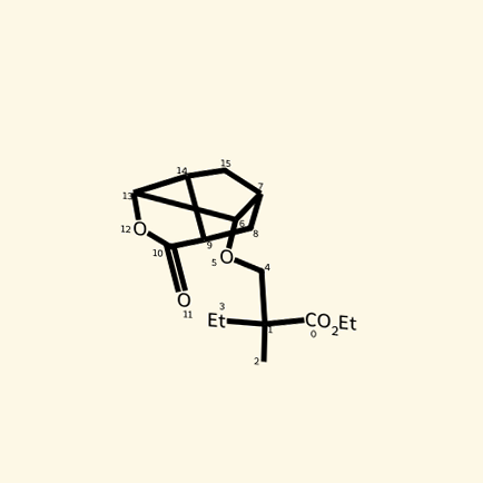 CCOC(=O)C(C)(CC)COC1C2CC3C(=O)OC1C3C2